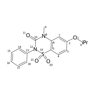 CC(C)Oc1ccc2c(c1)N(C)C(=O)N(c1ccccc1)S2(=O)=O